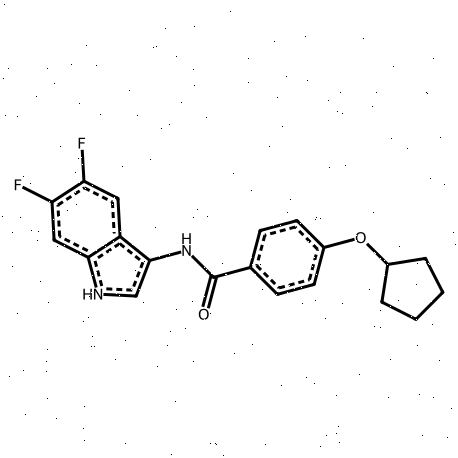 O=C(Nc1c[nH]c2cc(F)c(F)cc12)c1ccc(OC2CCCC2)cc1